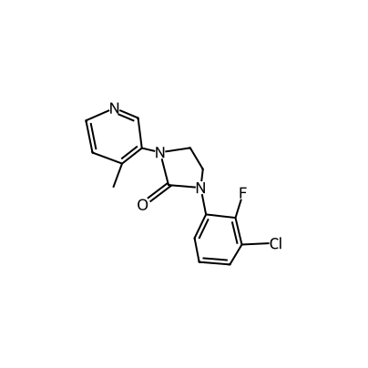 Cc1ccncc1N1CCN(c2cccc(Cl)c2F)C1=O